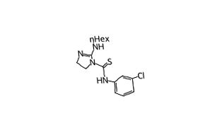 CCCCCCNC1=NCCN1C(=S)Nc1cccc(Cl)c1